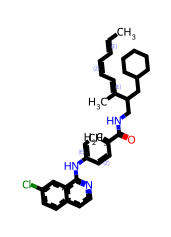 C=C(/C=C\C(=C/C)Nc1nccc2ccc(Cl)cc12)C(=O)NCC(CC1CCCCC1)/C(C)=C/C=C\C=C\C